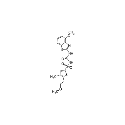 COCCc1sc(S(=O)(=O)NC(=O)Nc2nc3c(OC)cccc3s2)cc1C